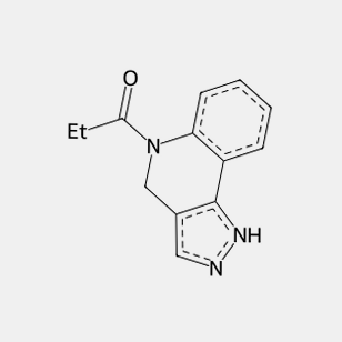 CCC(=O)N1Cc2cn[nH]c2-c2ccccc21